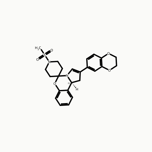 CS(=O)(=O)N1CCC2(CC1)Oc1ccccc1[C@@H]1CC(c3ccc4c(c3)OCCO4)=CN12